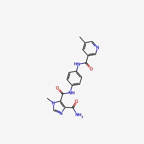 Cc1cncc(C(=O)Nc2ccc(NC(=O)c3c(C(N)=O)ncn3C)cc2)c1